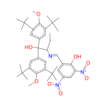 CCC(N=Cc1cc([N+](=O)[O-])cc([N+](=O)[O-])c1O)C(O)(c1cc(C(C)(C)C)c(OC)c(C(C)(C)C)c1)c1cc(C(C)(C)C)c(OC)c(C(C)(C)C)c1